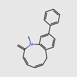 C=C1/C=C\C=C/Cc2ccc(-c3ccccc3)cc2N1C